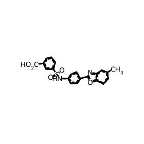 Cc1ccc2oc(-c3ccc(NS(=O)(=O)c4cccc(C(=O)O)c4)cc3)nc2c1